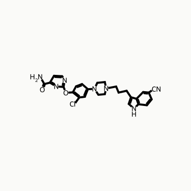 N#Cc1ccc2[nH]cc(CCCN3CCN(c4ccc(Oc5nccc(C(N)=O)n5)c(Cl)c4)CC3)c2c1